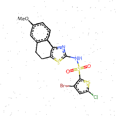 COc1ccc2c(c1)CCc1sc(NS(=O)(=O)c3sc(Cl)cc3Br)nc1-2